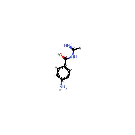 CC(=N)NC(=O)c1ccc(N)cc1